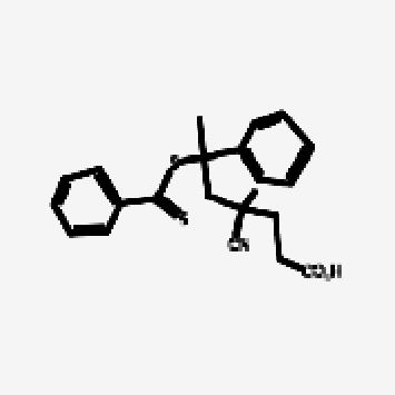 CC(C#N)(CCC(=O)O)CC(C)(SC(=S)c1ccccc1)c1ccccc1